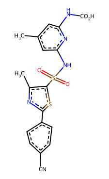 Cc1cc(NC(=O)O)nc(NS(=O)(=O)c2sc(-c3ccc(C#N)cc3)nc2C)c1